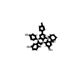 Cc1ccc(-c2cc3c4c(c2)N2c5c(cc(C(C)(C)C)cc5C5(C)CCCCC25C)B4c2sc4ccc(C(C)(C)C)cc4c2N3c2ccc(C(C)(C)C)cc2)cc1